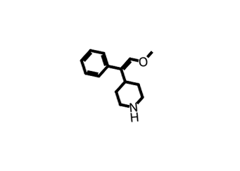 COC=C(c1ccccc1)C1CCNCC1